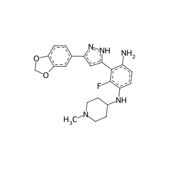 CN1CCC(Nc2ccc(N)c(-c3cc(-c4ccc5c(c4)OCO5)n[nH]3)c2F)CC1